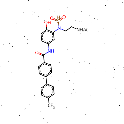 CC(=O)NCCN(c1cc(NC(=O)c2ccc(-c3ccc(C(F)(F)F)cc3)cc2)ccc1O)[SH](=O)=O